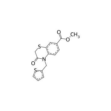 COC(=O)c1ccc2c(c1)SCC(=O)N2Cc1cccs1